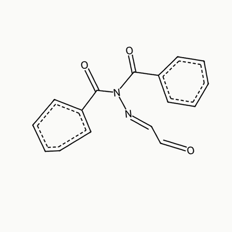 O=CC=NN(C(=O)c1ccccc1)C(=O)c1ccccc1